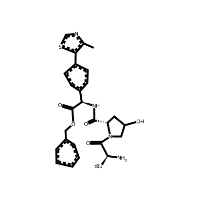 Cc1ncsc1-c1ccc([C@@H](NC(=O)[C@@H]2CC(O)CN2C(=O)[C@@H](N)C(C)(C)C)C(=O)OCc2ccccc2)cc1